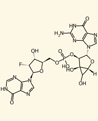 Nc1nc2c(ncn2[C@@H]2O[C@@H]3C(O)[C@]3(O)[C@H]2OP(=O)(O)OC[C@H]2O[C@@H](n3cnc4c(=O)[nH]cnc43)[C@H](F)[C@@H]2O)c(=O)[nH]1